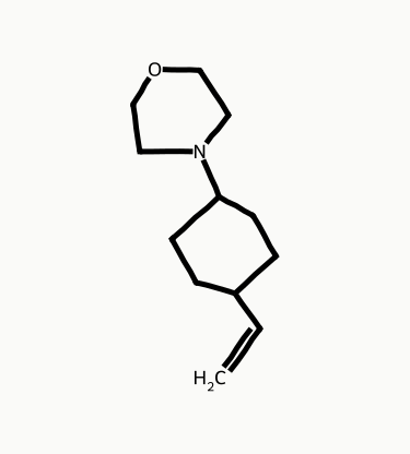 C=CC1CCC(N2CCOCC2)CC1